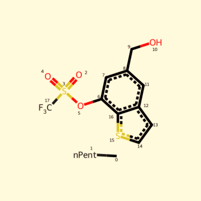 CCCCCC.O=S(=O)(Oc1cc(CO)cc2ccsc12)C(F)(F)F